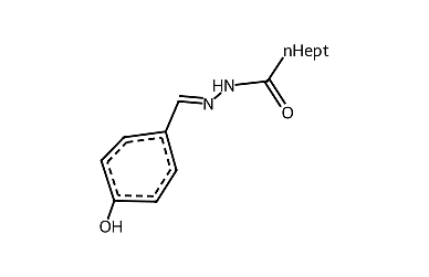 CCCCCCCC(=O)NN=Cc1ccc(O)cc1